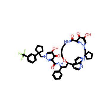 O=C1NCCCCOC(CC(NC(=O)c2nn(CC3(c4cccc(C(F)(F)F)c4)CCCC3)cc(O)c2=O)c2ccccc2)c2ccnc3c2ccn3C2(CCCC2)Cn2cc(O)c(=O)c1n2